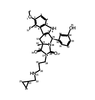 COc1ccc2[nH]c3c(c2c1F)C[C@@]1(C)C(=O)N(CCCNCC2CC2)C(=O)N1[C@@H]3c1cccc(O)c1